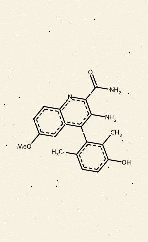 COc1ccc2nc(C(N)=O)c(N)c(-c3c(C)ccc(O)c3C)c2c1